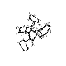 Brc1c(-c2ccccc2)c2c3ccccc3n(-c3ccccc3)c2c2c1sc1ccccc12